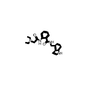 CCN(CC)CC(=O)Nc1ccccc1C(=O)NCc1cccc2[nH]ccc12